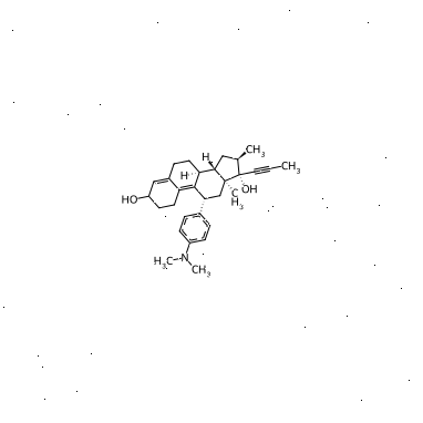 CC#C[C@]1(O)[C@H](C)C[C@H]2[C@@H]3CCC4=CC(O)CCC4=C3[C@@H](c3ccc(N(C)C)cc3)C[C@@]21C